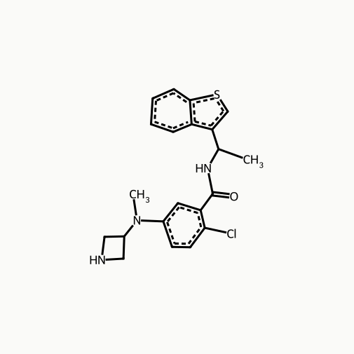 CC(NC(=O)c1cc(N(C)C2CNC2)ccc1Cl)c1csc2ccccc12